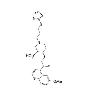 COc1ccc2nccc(C(F)CC[C@@H]3CCN(CCCSc4nccs4)C[C@@H]3C(=O)O)c2c1